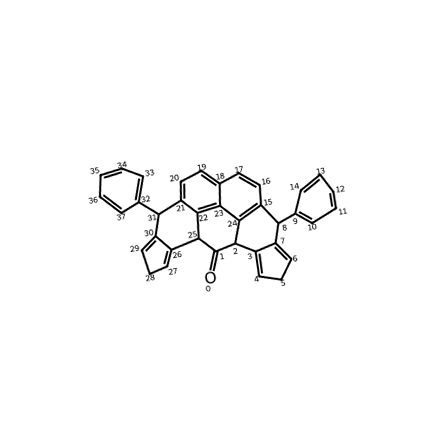 O=C1C2C3=CCC=C3C(c3ccccc3)c3ccc4ccc5c(c4c32)C1C1=CCC=C1C5c1ccccc1